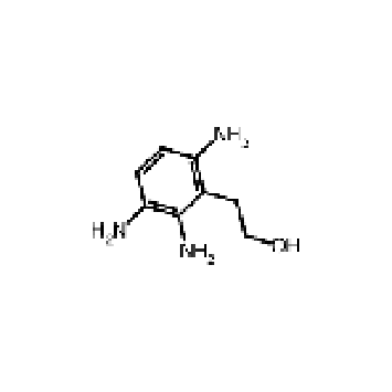 Nc1ccc(N)c(CCO)c1N